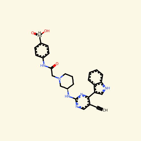 C#Cc1cnc(N[C@@H]2CCCN(CC(=O)Nc3ccc([AsH](=O)O)cc3)C2)nc1-c1c[nH]c2ccccc12